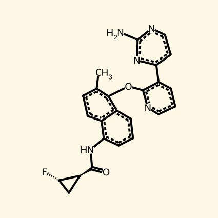 Cc1ccc2c(NC(=O)[C@H]3C[C@@H]3F)cccc2c1Oc1ncccc1-c1ccnc(N)n1